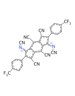 N#C/N=c1/c(-c2ccc(C(F)(F)F)cc2)c(C#N)c2c(C#N)c3/c(=N\C#N)c(-c4ccc(C(F)(F)F)cc4)c(C#N)c3c(C#N)c12